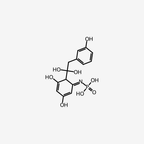 O=P(O)(O)/N=C1\C=C(O)C=C(O)C1C(O)(O)Cc1cccc(O)c1